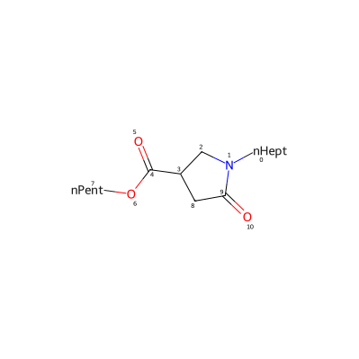 CCCCCCCN1CC(C(=O)OCCCCC)CC1=O